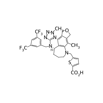 Cc1c2c(cc3c1N(Cc1ccc(C(=O)O)s1)CCC[C@@H]3N(Cc1cc(C(F)(F)F)cc(C(F)(F)F)c1)c1nnn(C)n1)COC2